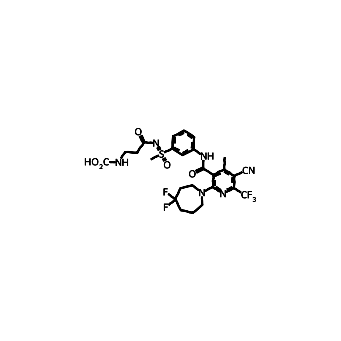 Cc1c(C#N)c(C(F)(F)F)nc(N2CCCC(F)(F)CC2)c1C(=O)Nc1cccc(S(C)(=O)=NC(=O)CCNC(=O)O)c1